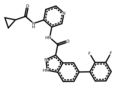 O=C(Nc1cnccc1NC(=O)C1CC1)c1n[nH]c2ccc(-c3cccc(F)c3F)cc12